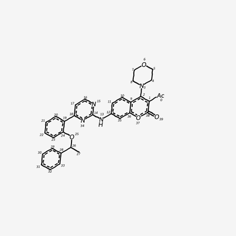 CC(=O)c1c(N2CCOCC2)c2ccc(Nc3nccc(-c4ccccc4OC(C)c4ccccc4)n3)cc2oc1=O